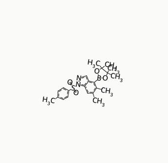 Cc1ccc(S(=O)(=O)n2ncc3c(B4OC(C)(C)C(C)(C)O4)c(C)c(C)cc32)cc1